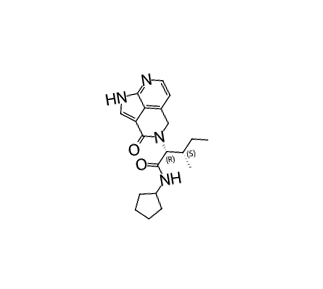 CC[C@H](C)[C@H](C(=O)NC1CCCC1)N1Cc2ccnc3[nH]cc(c23)C1=O